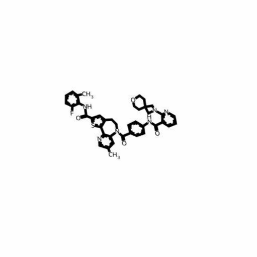 Cc1cnc2c(c1)N(C(=O)c1ccc(NC(=O)c3cccnc3N3CC4(CCOCC4)C3)cc1)CCc1cc(C(=O)Nc3c(C)cccc3F)sc1-2